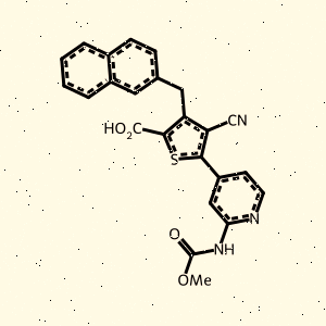 COC(=O)Nc1cc(-c2sc(C(=O)O)c(Cc3ccc4ccccc4c3)c2C#N)ccn1